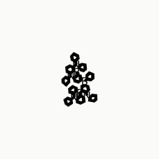 c1ccc(B(c2ccc3c(c2)B2c4ccccc4N(c4ccccc4)c4cccc(c42)N3c2ccccc2)c2ccc3c(c2)B2c4ccccc4N(c4ccccc4)c4cccc(c42)N3c2ccccc2)cc1